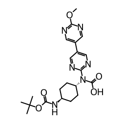 COc1ncc(-c2cnc(N(C(=O)O)[C@H]3CC[C@H](NC(=O)OC(C)(C)C)CC3)nc2)cn1